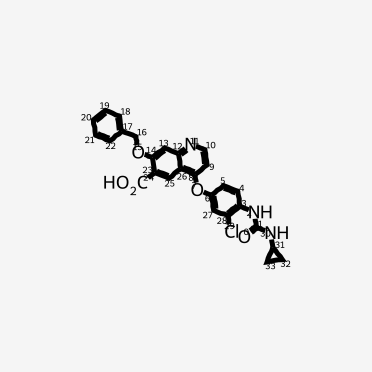 O=C(Nc1ccc(Oc2ccnc3cc(OCc4ccccc4)c(C(=O)O)cc23)cc1Cl)NC1CC1